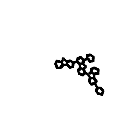 c1ccc(-c2ccc3c(c2)c2ccccc2n3-c2cccc3c2sc2c(-c4ccccc4)ccc(-c4ccc5c(c4)oc4ccccc45)c23)cc1